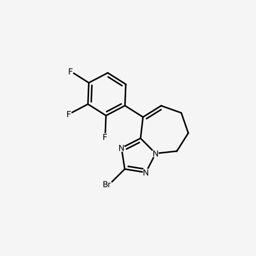 Fc1ccc(C2=CCCCn3nc(Br)nc32)c(F)c1F